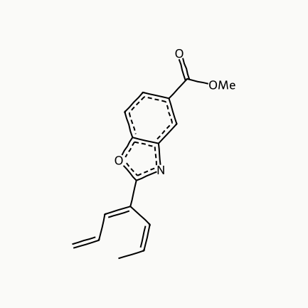 C=C/C=C(\C=C/C)c1nc2cc(C(=O)OC)ccc2o1